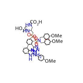 COc1ccc(CN(Cc2ccc(OC)cc2)S(=O)(=O)c2c(S(=O)(=O)CC(CNC(=O)O)NC(=O)O)ccc(-c3cccc4[nH]c(N)nc34)c2-c2nnn(Cc3ccc(OC)cc3)n2)cc1